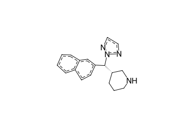 c1ccc2cc(C([C@H]3CCCNC3)n3nccn3)ccc2c1